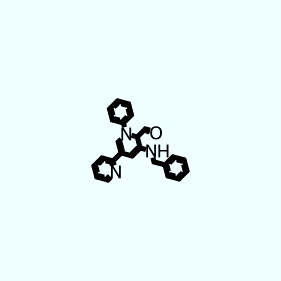 O=CC1C(NCc2ccccc2)=CC(c2ccccn2)=CN1c1ccccc1